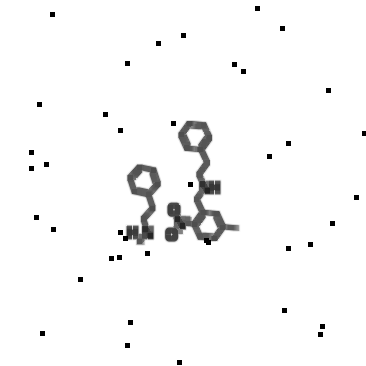 Cc1ccc([N+](=O)[O-])c(CNCCc2ccccc2)c1.NCCc1ccccc1